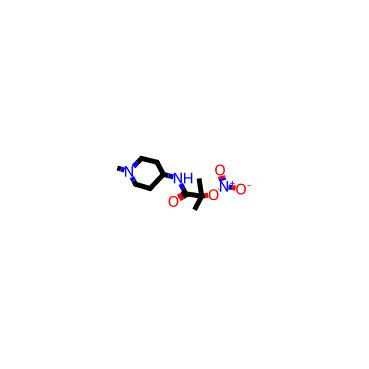 CN1CCC(NC(=O)C(C)(C)O[N+](=O)[O-])CC1